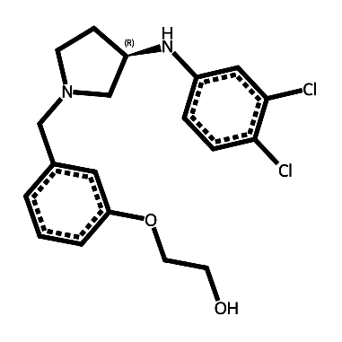 OCCOc1cccc(CN2CC[C@@H](Nc3ccc(Cl)c(Cl)c3)C2)c1